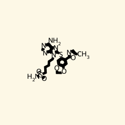 Cc1cnc(-c2cc3c(cc2Sc2nc4c(N)ncnc4n2CCCCCS(N)(=O)=O)OCCO3)o1